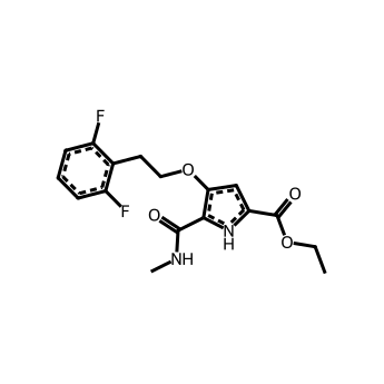 CCOC(=O)c1cc(OCCc2c(F)cccc2F)c(C(=O)NC)[nH]1